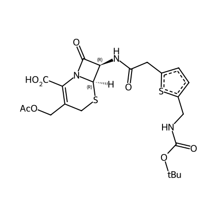 CC(=O)OCC1=C(C(=O)O)N2C(=O)[C@@H](NC(=O)Cc3ccc(CNC(=O)OC(C)(C)C)s3)[C@H]2SC1